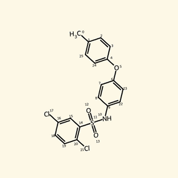 Cc1ccc(Oc2ccc(NS(=O)(=O)c3cc(Cl)ccc3Cl)cc2)cc1